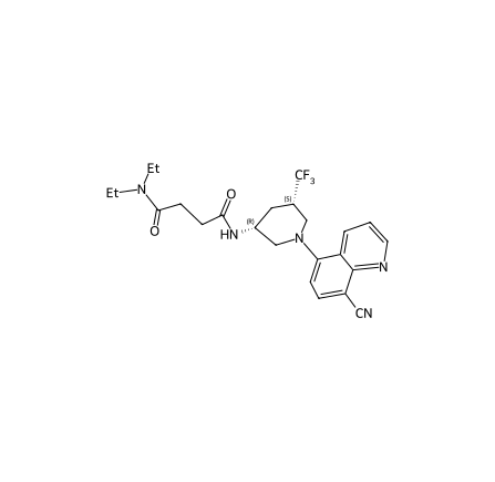 CCN(CC)C(=O)CCC(=O)N[C@@H]1C[C@H](C(F)(F)F)CN(c2ccc(C#N)c3ncccc23)C1